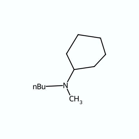 [CH2-][CH+]CCN(C)C1CCCCC1